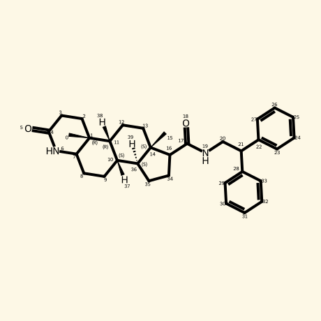 C[C@]12CCC(=O)NC1CC[C@@H]1[C@H]2CC[C@]2(C)C(C(=O)NCC(c3ccccc3)c3ccccc3)CC[C@@H]12